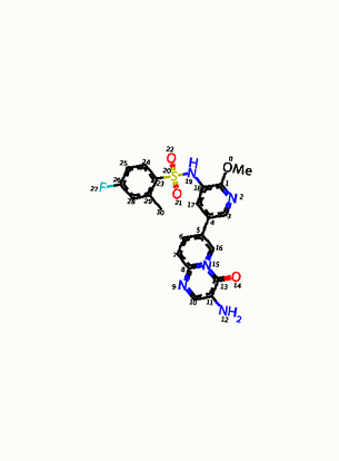 COc1ncc(-c2ccc3ncc(N)c(=O)n3c2)cc1NS(=O)(=O)c1ccc(F)cc1C